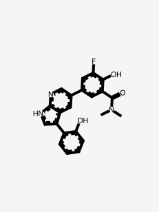 CN(C)C(=O)c1cc(-c2cnc3[nH]cc(-c4ccccc4O)c3c2)cc(F)c1O